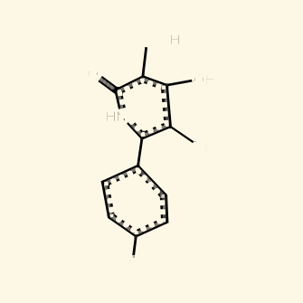 CCc1c(-c2ccc(F)cc2)[nH]c(=O)c(C(=O)O)c1O